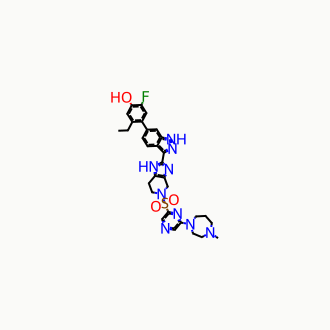 CCc1cc(O)c(F)cc1-c1ccc2c(-c3nc4c([nH]3)CCN(S(=O)(=O)c3cncc(N5CCCN(C)CC5)n3)C4)n[nH]c2c1